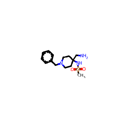 CS(=O)(=O)NC1(CN)CCN(Cc2ccccc2)CC1